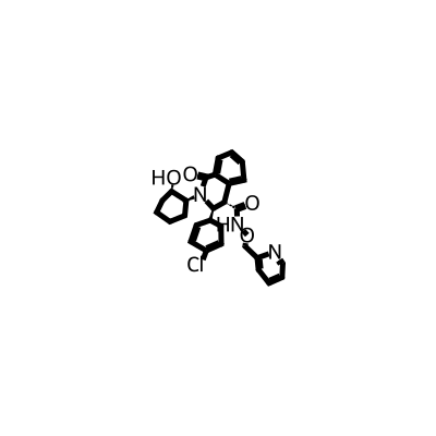 O=C(NOCc1ccccn1)[C@H]1c2ccccc2C(=O)N([C@H]2CCCC[C@@H]2O)[C@@H]1C1C=CC(Cl)=CC1